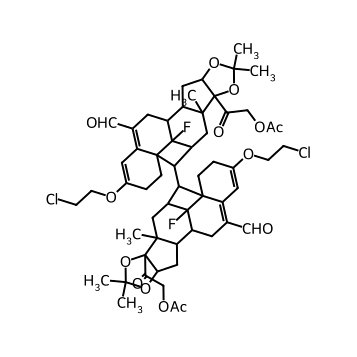 CC(=O)OCC(=O)C12OC(C)(C)OC1CC1C3CC(C=O)=C4C=C(OCCCl)CCC45C(C4C6CC7(C)C(CC8OC(C)(C)OC87C(=O)COC(C)=O)C7CC(C=O)=C8C=C(OCCCl)CCC84C76F)C(CC12C)C35F